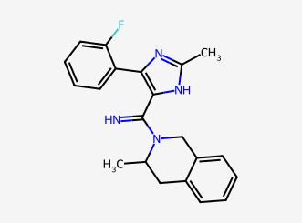 Cc1nc(-c2ccccc2F)c(C(=N)N2Cc3ccccc3CC2C)[nH]1